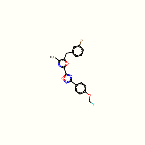 Cc1nc(-c2nc(-c3ccc(OCF)cc3)no2)oc1Cc1cccc(Br)c1